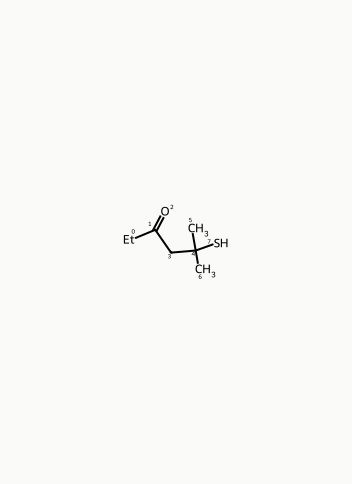 CCC(=O)CC(C)(C)S